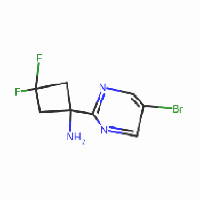 NC1(c2ncc(Br)cn2)CC(F)(F)C1